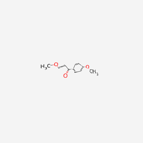 COC=CC(=O)c1ccc(OC)cc1